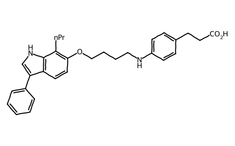 CCCc1c(OCCCCNc2ccc(CCC(=O)O)cc2)ccc2c(-c3ccccc3)c[nH]c12